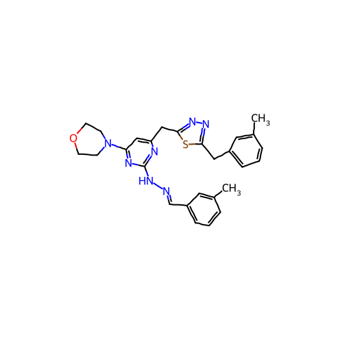 Cc1cccc(C=NNc2nc(Cc3nnc(Cc4cccc(C)c4)s3)cc(N3CCOCC3)n2)c1